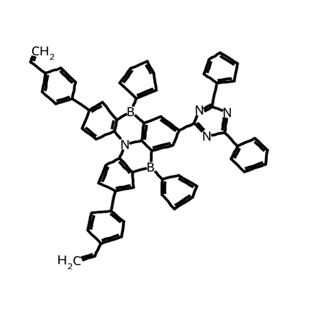 C=Cc1ccc(-c2ccc3c(c2)B(c2ccccc2)c2cc(-c4nc(-c5ccccc5)nc(-c5ccccc5)n4)cc4c2N3c2ccc(-c3ccc(C=C)cc3)cc2B4c2ccccc2)cc1